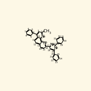 Cc1cc(-c2ccccc2)c2ccc3ccc(-c4cc(-c5ccccc5)nc(-c5ccccc5)n4)nc3c2n1